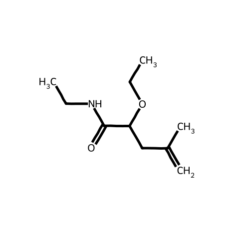 C=C(C)CC(OCC)C(=O)NCC